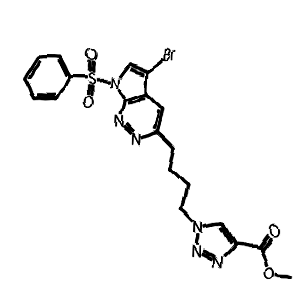 COC(=O)c1cn(CCCCc2cc3c(Br)cn(S(=O)(=O)c4ccccc4)c3nn2)nn1